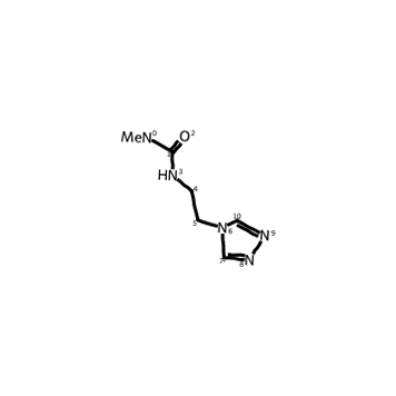 CNC(=O)NCCn1[c]nnc1